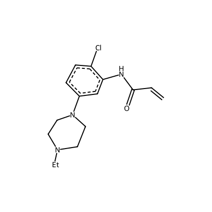 C=CC(=O)Nc1cc(N2CCN(CC)CC2)ccc1Cl